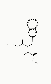 CCCCCCCCCNC(=O)C(COC)C(Sc1nc2ccccc2s1)C(=O)NCCCCCCCCC